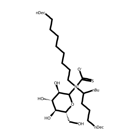 CCCCCCCCCCCCCCCCCC[N+](C([O-])=S)(C(CCCC)CCCCCCCCCCCCC)C1O[C@H](CO)[C@@H](O)[C@H](O)[C@H]1O